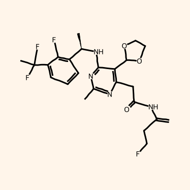 C=C(CCF)NC(=O)Cc1nc(C)nc(N[C@H](C)c2cccc(C(C)(F)F)c2F)c1C1OCCO1